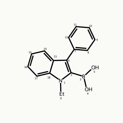 CCn1c(B(O)O)c(-c2ccccc2)c2ccccc21